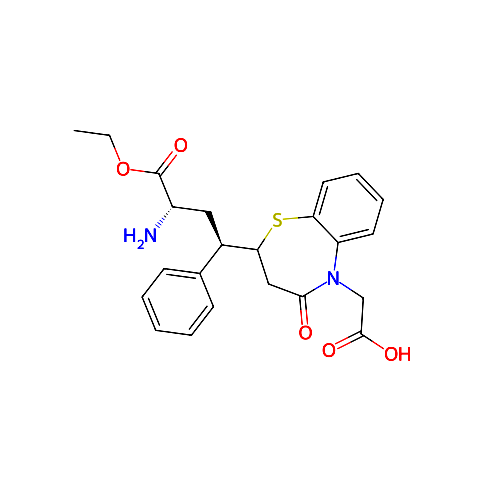 CCOC(=O)[C@@H](N)C[C@H](c1ccccc1)C1CC(=O)N(CC(=O)O)c2ccccc2S1